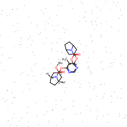 Cc1c(OC2CC3CCC(C2)N3C(=O)OC(C)(C)C)ncnc1O[C@@H]1C[C@H]2CC[C@@H](C1)N2C(=O)OC(C)(C)C